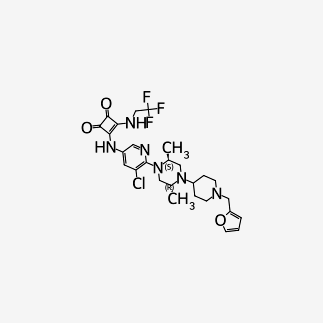 C[C@@H]1CN(c2ncc(Nc3c(NCC(F)(F)F)c(=O)c3=O)cc2Cl)[C@@H](C)CN1C1CCN(Cc2ccco2)CC1